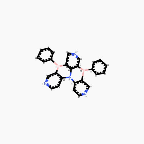 c1ccc(B2c3cnccc3N3c4ccncc4B(c4ccccc4)c4cncc2c43)cc1